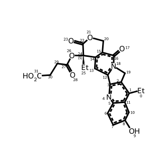 CCc1c2c(nc3ccc(O)cc13)-c1cc3c(c(=O)n1C2)COC(=O)[C@@]3(CC)OC(=O)CCC(=O)O